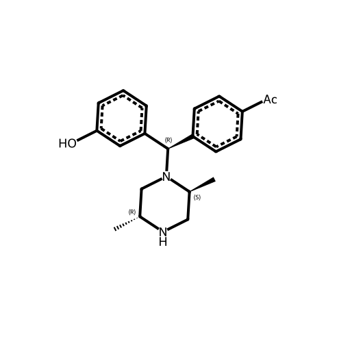 CC(=O)c1ccc([C@H](c2cccc(O)c2)N2C[C@@H](C)NC[C@@H]2C)cc1